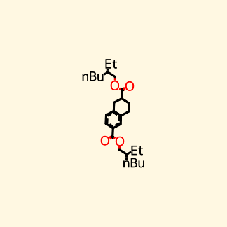 CCCCC(CC)COC(=O)c1ccc2c(c1)CCC(C(=O)OCC(CC)CCCC)C2